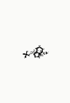 CC(C)(C)CO[C@H]1CC[C@H]2[C@@H](O)CCC[C@]12C